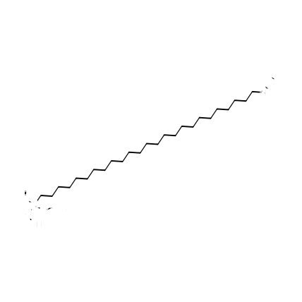 CO[Si](CCCCCCCCCCCCCCCCCCCCCCCCCN=C=O)(OC)OC